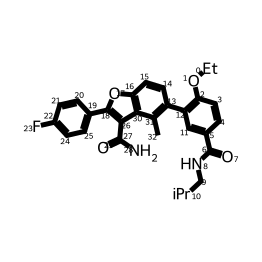 CCOc1ccc(C(=O)NCC(C)C)cc1-c1ccc2oc(-c3ccc(F)cc3)c(C(N)=O)c2c1C